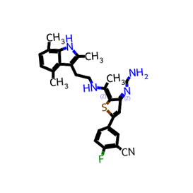 C/C(NCCc1c(C)[nH]c2c(C)ccc(C)c12)=C1/SC(c2ccc(F)c(C#N)c2)=C/C1=N/CN